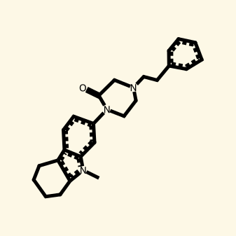 Cn1c2c(c3ccc(N4CCN(CCc5ccccc5)CC4=O)cc31)CCCC2